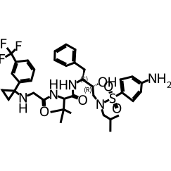 CC(C)CN(C[C@@H](O)[C@H](Cc1ccccc1)NC(=O)C(NC(=O)CNC1(c2cccc(C(F)(F)F)c2)CC1)C(C)(C)C)S(=O)(=O)c1ccc(N)cc1